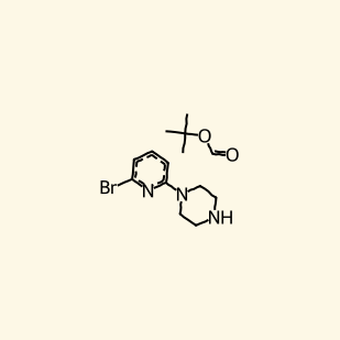 Brc1cccc(N2CCNCC2)n1.CC(C)(C)OC=O